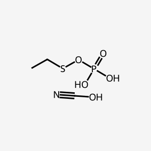 CCSOP(=O)(O)O.N#CO